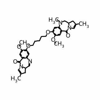 COc1cc2c(cc1OCCCCCOc1cc3c(cc1OC)C(=O)N1C=C(C)CC1CN3C)N=CC1CC(C)=CN1C2=O